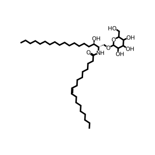 CCCCCCCC/C=C\CCCCCCCC(=O)N[C@@H](COC1OC(CO)C(O)C(O)C1O)[C@H](O)CCCCCCCCCCCCCCC